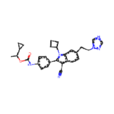 CC(OC(=O)Nc1ccc(-c2c(C#N)c3ccc(CCn4cncn4)cc3n2C2CCC2)cc1)C1CC1